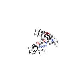 CCCCC(Cc1cc(C(C)(C)C)c(O)c(C(C)(C)C)c1)(C(=O)NC1CC(C)(C)CC(C)(C)C1)C(=O)NC1CC(C)(C)NC(C)(C)C1